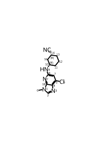 Cn1cnc2c(Cl)cc(N[C@@H]3CCC[C@@H](C#N)C3)nc21